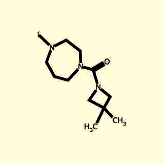 CC1(C)CN(C(=O)N2CCCN(I)CC2)C1